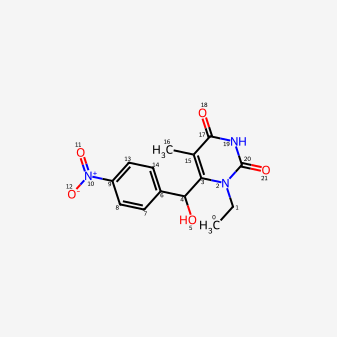 CCn1c(C(O)c2ccc([N+](=O)[O-])cc2)c(C)c(=O)[nH]c1=O